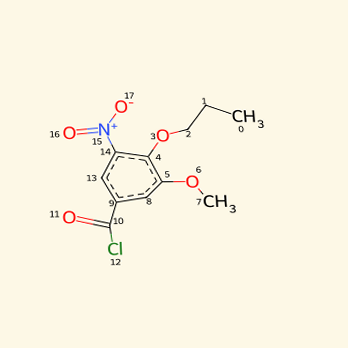 CCCOc1c(OC)cc(C(=O)Cl)cc1[N+](=O)[O-]